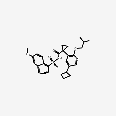 COc1ccc2c(S(=O)(=O)NC(=O)C3(c4cc(C5CCC5)cnc4OCC(C)C)CC3)cccc2n1